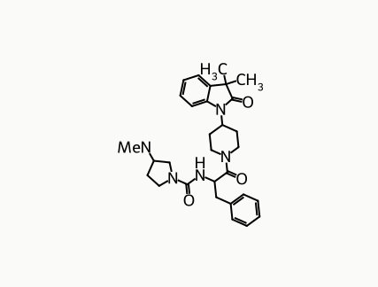 CNC1CCN(C(=O)NC(Cc2ccccc2)C(=O)N2CCC(N3C(=O)C(C)(C)c4ccccc43)CC2)C1